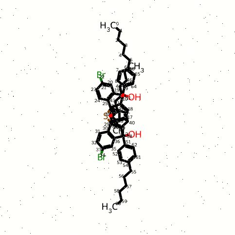 CCCCCCc1ccc(C(O)(c2ccc(C)cc2)c2cc(Br)ccc2-c2ccc(-c3ccc(Br)cc3C(O)(c3ccc(CCCCCC)cc3)c3ccc(CCCCCC)cc3)s2)cc1